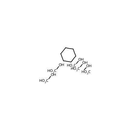 C1CCCCC1.O=C(O)O.O=C(O)O.O=C(O)O.O=C(O)O.O=C(O)O